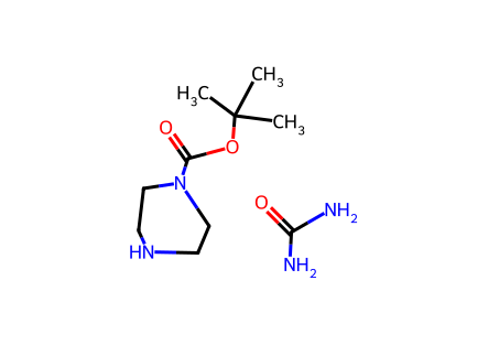 CC(C)(C)OC(=O)N1CCNCC1.NC(N)=O